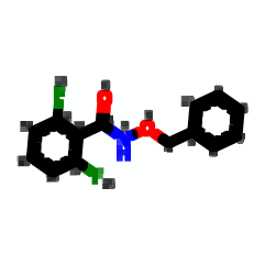 O=C(NOCc1ccccc1)c1c(F)cccc1F